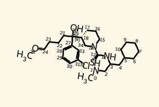 CNCC(CC1CCCCC1)NC(=S)N1CCC[C@@H]([C@@](O)(CCCCOC)c2cccc(Cl)c2)C1